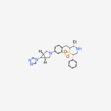 CC[C@@H]1NC[C@H](c2ccccc2)S(=O)(=O)C1Cc1ccc(N2C[C@@H]3C(n4cnnc4)[C@@H]3C2)cc1F